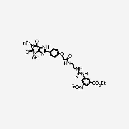 CCCn1c(=O)c2[nH]c(-c3ccc(OCC(=O)NCCNC(=S)Nc4cc(N=C=S)cc(C(=O)OCC)c4)cc3)nc2n(CCC)c1=O